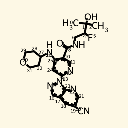 CC(C)(O)C(F)CNC(=O)c1cnc(-n2ncc3cc(C#N)cnc32)cc1NC1CCOCC1